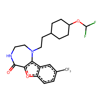 O=C1NCCN(CCC2CCC(OC(F)F)CC2)c2c1oc1ccc(C(F)(F)F)cc21